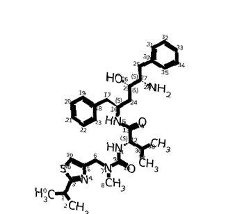 CC(C)c1nc(CN(C)C(=O)N[C@H](C(=O)N[C@@H](Cc2ccccc2)C[C@H](O)[C@@H](N)Cc2ccccc2)C(C)C)cs1